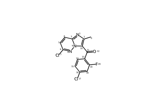 Cc1nc2ccc(Cl)nn2c1C(=O)c1ccc(Cl)cc1F